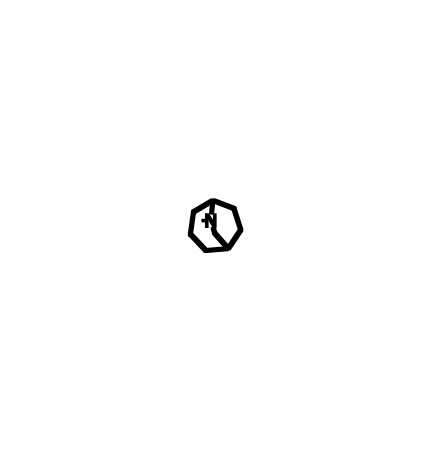 C1CC2CCC(C1)[N]C2